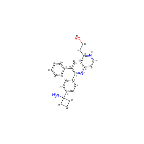 NC1(c2ccc(-c3nc4ccnc(CCO)c4cc3-c3ccccc3)cc2)CCC1